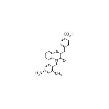 Cc1cc(N)ccc1CN1C(=O)C(Cc2ccc(C(=O)O)cc2)Sc2ccccc21